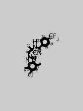 Cc1cc(Cl)c(C)c2nn(CC(C)(C#N)NC(=S)c3ccc(C(F)(F)F)cc3)nc12